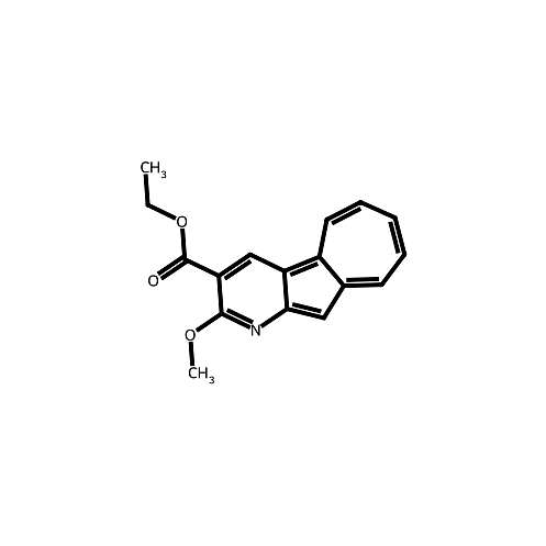 CCOC(=O)c1cc2c3cccccc-3cc2nc1OC